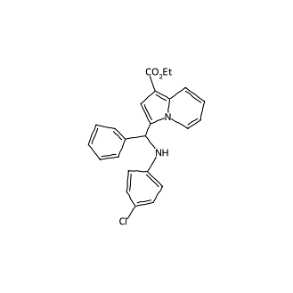 CCOC(=O)c1cc(C(Nc2ccc(Cl)cc2)c2ccccc2)n2ccccc12